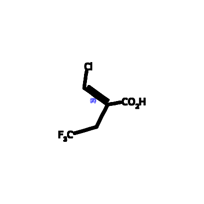 O=C(O)/C(=C\Cl)CC(F)(F)F